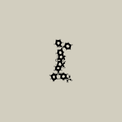 CC1(C)c2cc(N(c3ccccc3)c3ccccc3)ccc2-c2oc3c(c21)C(C)(C)c1cc(N(c2ccccc2)c2ccc([Si](C)(C)C)cc2)ccc1-3